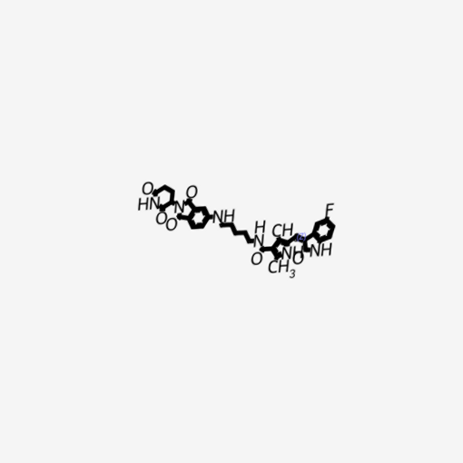 Cc1[nH]c(/C=C2\C(=O)Nc3ccc(F)cc32)c(C)c1C(=O)NCCCCCNc1ccc2c(c1)C(=O)N(C1CCC(=O)NC1=O)C2=O